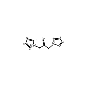 O=C(C[SH]1C=CC=C1)C[SH]1C=CC=C1